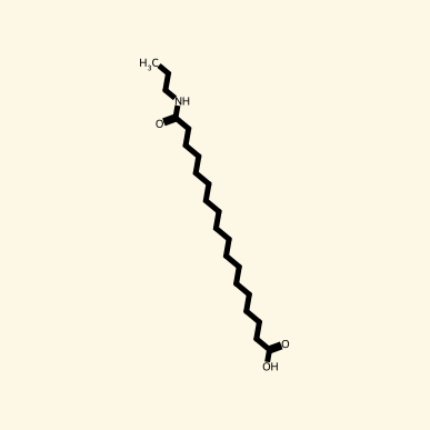 CCCNC(=O)CCCCCCCCCCCCCCCCC(=O)O